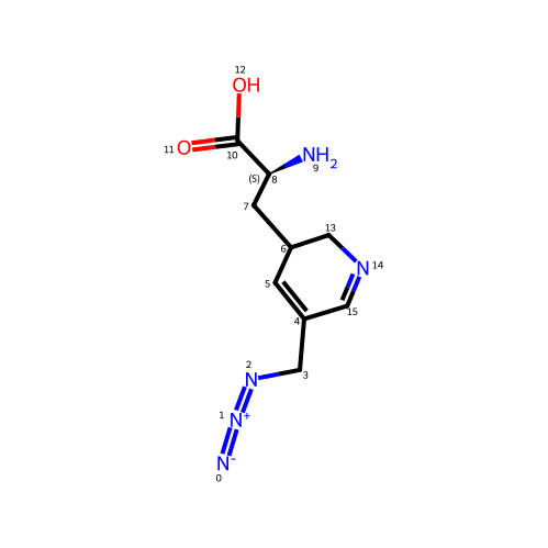 [N-]=[N+]=NCC1=CC(C[C@H](N)C(=O)O)CN=C1